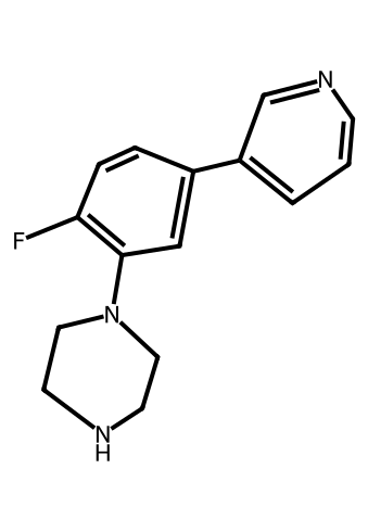 Fc1ccc(-c2cccnc2)cc1N1CCNCC1